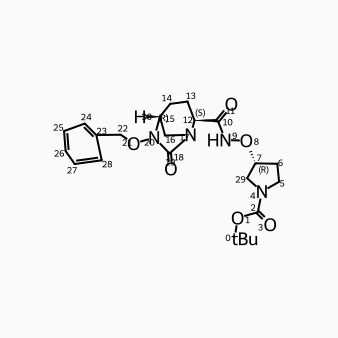 CC(C)(C)OC(=O)N1CC[C@@H](ONC(=O)[C@@H]2CC[C@@H]3CN2C(=O)N3OCc2ccccc2)C1